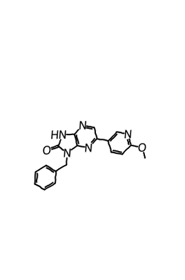 COc1ccc(-c2cnc3[nH]c(=O)n(Cc4ccccc4)c3n2)cn1